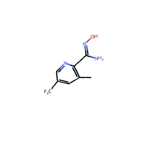 Cc1cc(C(F)(F)F)cnc1/C(N)=N/O